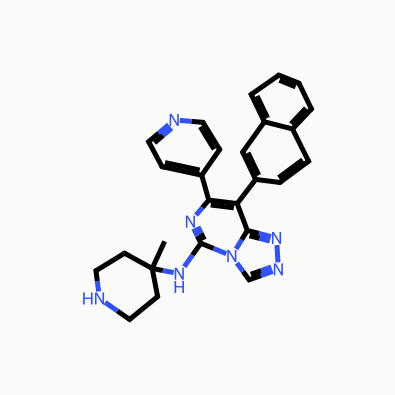 CC1(Nc2nc(-c3ccncc3)c(-c3ccc4ccccc4c3)c3nncn23)CCNCC1